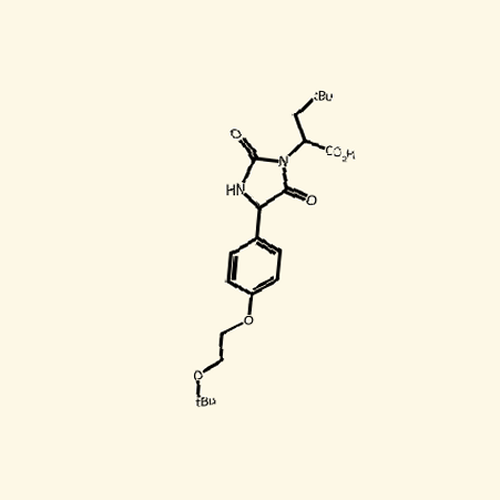 CC(C)(C)CC(C(=O)O)N1C(=O)NC(c2ccc(OCCOC(C)(C)C)cc2)C1=O